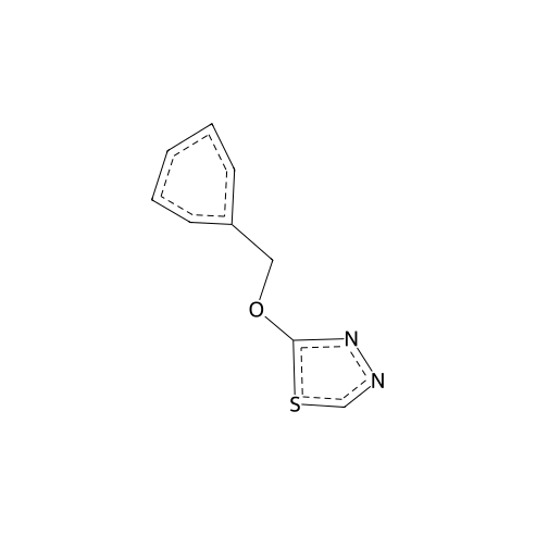 c1ccc(COc2nncs2)cc1